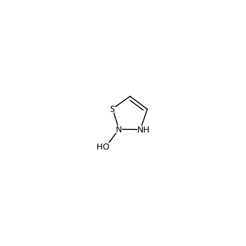 ON1NC=CS1